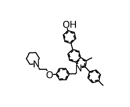 Cc1ccc(-c2c(C)c3cc(-c4ccc(O)cc4)ccc3n2Cc2ccc(OCCN3CCCCC3)cc2)cc1